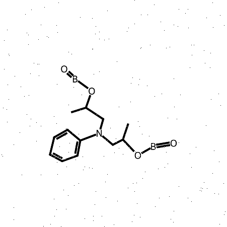 CC(CN(CC(C)OB=O)c1ccccc1)OB=O